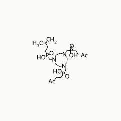 C=C(C)CCP(=O)(O)CN1CCN(CP(=O)(O)CCC(C)=O)CCN(CP(=O)(O)CCC(C)=O)CC1